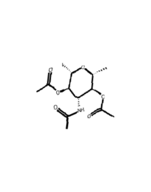 CC(=O)N[C@@H]1[C@@H](OC(C)=O)[C@H](I)O[C@H](C)[C@H]1OC(C)=O